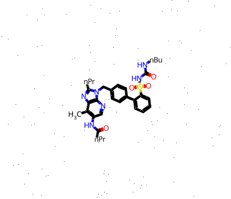 CCCCNC(=O)NS(=O)(=O)c1ccccc1-c1ccc(Cn2c(CCC)nc3c(C)c(NC(=O)CCC)cnc32)cc1